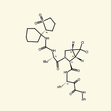 CCCNC(=O)C(=O)[C@H](CCC)NC(=O)[C@@H]1[C@@H]2[C@H](CN1C(=O)[C@@H](NC(=O)NC1([C@H]3CCCS3(=O)=O)CCCCC1)C(C)(C)C)C2(Cl)Cl